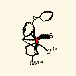 COC1CCC2(CC1)Cc1ccc(OC3CCCC3)cc1C21NC(=S)N(C)C1=O